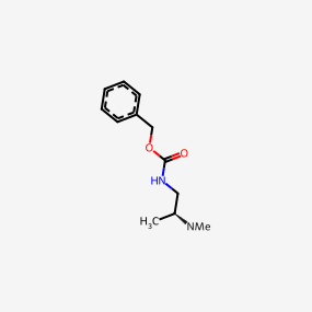 CN[C@@H](C)CNC(=O)OCc1ccccc1